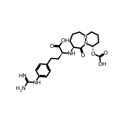 N=C(N)Nc1ccc(CC[C@H](N[C@H]2CCCN3CCC[C@H](OC(=O)O)N3C2=O)C(=O)O)cc1